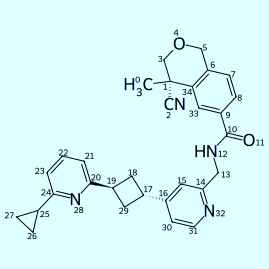 C[C@@]1(C#N)COCc2ccc(C(=O)NCc3cc([C@H]4C[C@H](c5cccc(C6CC6)n5)C4)ccn3)cc21